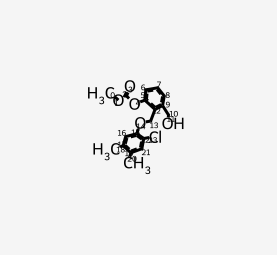 COC(=O)Oc1cccc(CO)c1COc1cc(C)c(C)cc1Cl